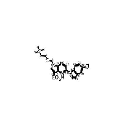 C[Si](C)(C)CCOCn1cc(C(=O)O)c2nc(-n3ncc4cc(Cl)ccc43)cnc21